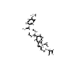 N#Cc1ccc(C(=O)C2CCC(c3ccc4c(c3)nc3n4CCN(C4CCC4)CC3)CN2)cc1